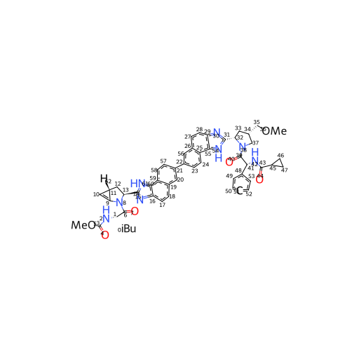 CC[C@H](C)[C@H](NC(=O)OC)C(=O)N1C2=C[C@@H]2C[C@H]1c1nc2ccc3cc(-c4ccc5c(ccc6nc([C@@H]7C[C@H](COC)CN7C(=O)[C@H](NC(=O)C7CC7)c7ccccc7)[nH]c65)c4)ccc3c2[nH]1